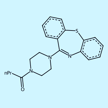 CCCC(=O)N1CCN(C2=Nc3ccccc3Sc3ccccc32)CC1